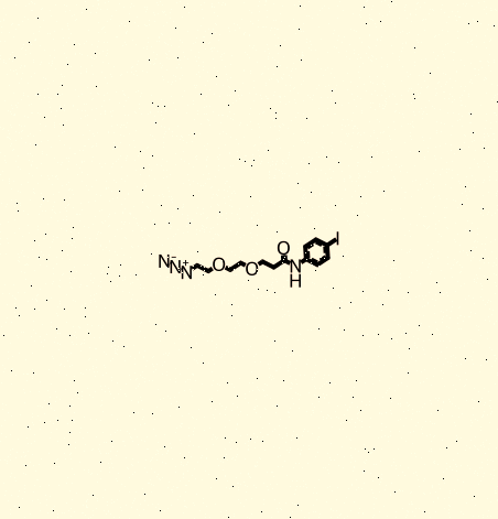 [N-]=[N+]=NCCOCCOCCC(=O)Nc1ccc(I)cc1